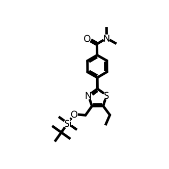 CCc1sc(-c2ccc(C(=O)N(C)C)cc2)nc1CO[Si](C)(C)C(C)(C)C